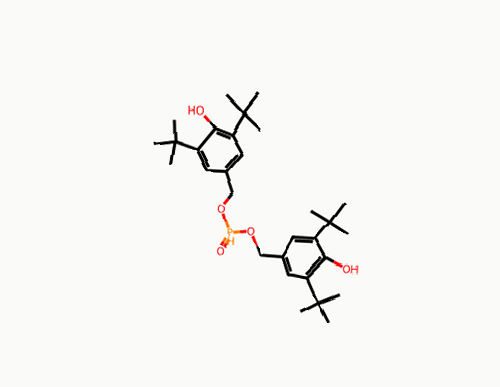 CC(C)(C)c1cc(CO[PH](=O)OCc2cc(C(C)(C)C)c(O)c(C(C)(C)C)c2)cc(C(C)(C)C)c1O